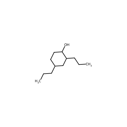 CCCC1CCC(O)C(CCC)C1